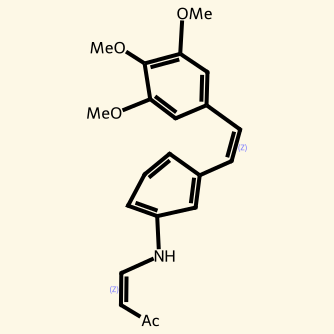 COc1cc(/C=C\c2cccc(N/C=C\C(C)=O)c2)cc(OC)c1OC